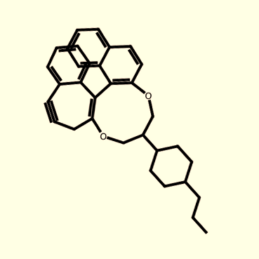 CCCC1CCC(C2COC3=C(c4ccccc4C#CC3)c3c(ccc4ccccc34)OC2)CC1